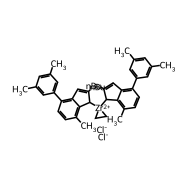 CCCCC1=Cc2c(-c3cc(C)cc(C)c3)ccc(C)c2[CH]1[Zr+2]1([CH]2C(CCCC)=Cc3c(-c4cc(C)cc(C)c4)ccc(C)c32)[CH2][CH2]1.[Cl-].[Cl-]